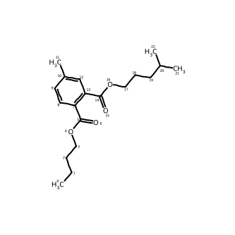 CCCCOC(=O)c1ccc(C)cc1C(=O)OCCCC(C)C